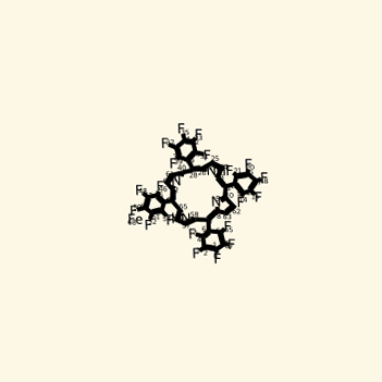 Fc1c(F)c(F)c(-c2c3nc(c(-c4c(F)c(F)c(F)c(F)c4F)c4ccc([nH]4)c(-c4c(F)c(F)c(F)c(F)c4F)c4nc(c(-c5c(F)c(F)c(F)c(F)c5F)c5ccc2[nH]5)C=C4)C=C3)c(F)c1F.[Fe]